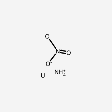 O=[N+]([O-])[O-].[NH4+].[U]